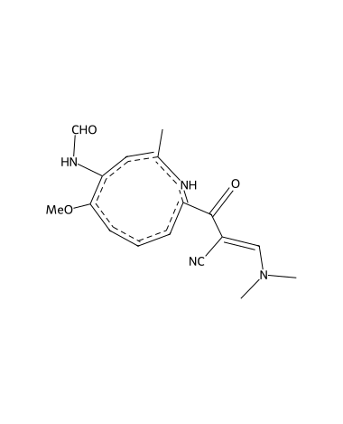 COc1cccc(C(=O)/C(C#N)=C/N(C)C)[nH]c(C)cc1NC=O